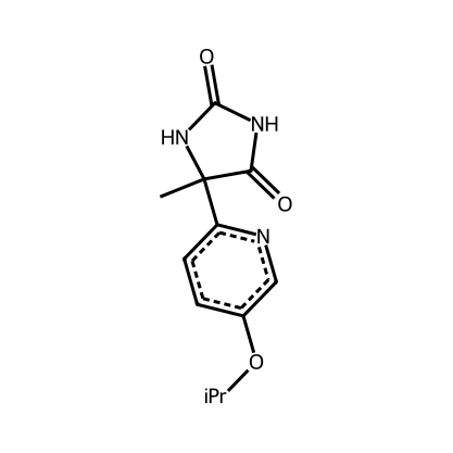 CC(C)Oc1ccc(C2(C)NC(=O)NC2=O)nc1